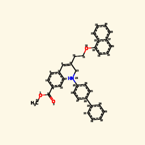 COC(=O)c1ccc(C=C(CCOc2cccc3ccccc23)CNc2ccc(-c3ccccc3)cc2)cc1